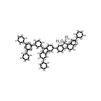 CC1(C)c2cc(-c3ccc4c(c3)c3cc(-c5ccccc5)ccc3n4-c3cccc(-c4nc(-c5ccccc5)nc(-c5ccccc5)n4)c3)ccc2-c2ccc3oc(-c4ccccc4)nc3c21